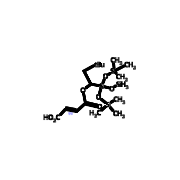 CC(C)(C)CC(OC(=O)/C=C/C(=O)O)[Si](O[SiH3])(O[Si](C)(C)C)O[Si](C)(C)C